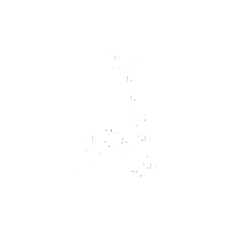 COc1cc(N2CCN(C(=O)OC(C)(C)C)CC2)ccc1Nc1nc(Nc2c(F)cc(F)cc2Cl)cc2cn[nH]c(=O)c12